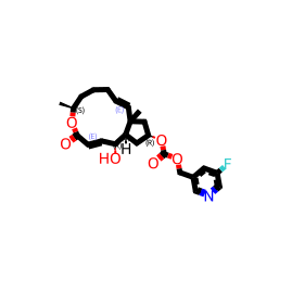 C[C@H]1CCC/C=C/C2(C)C[C@H](OC(=O)OCc3cncc(F)c3)C[C@H]2[C@H](O)/C=C/C(=O)O1